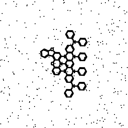 c1ccc(N(c2ccccc2)c2ccc3c(c2)N(c2ccccc2)c2cc4c5c6c2B3c2cccc3c2N6c2c(cc6oc7ccccc7c6c2O3)B5c2ccc(N(c3ccccc3)c3ccccc3)cc2N4c2ccccc2)cc1